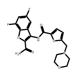 NC(=O)c1oc2c(F)cc(F)cc2c1NC(=O)c1ccc(CN2CCOCC2)o1